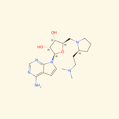 CN(C)CC[C@@H]1CCCN1C[C@H]1O[C@@H](n2ccc3c(N)ncnc32)[C@H](O)[C@@H]1O